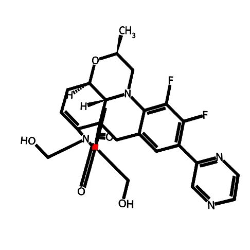 C[C@H]1CN2c3c(cc(-c4cnccn4)c(F)c3F)CC34C(=O)N(CO)C(=O)N(CO)C3=CC[C@@H](O1)[C@H]24